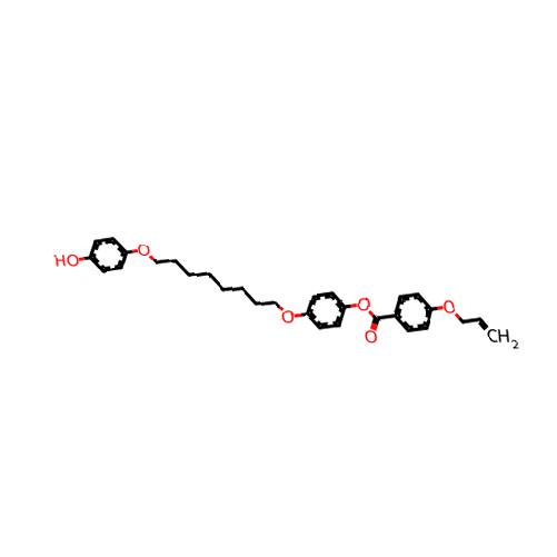 C=CCOc1ccc(C(=O)Oc2ccc(OCCCCCCCCOc3ccc(O)cc3)cc2)cc1